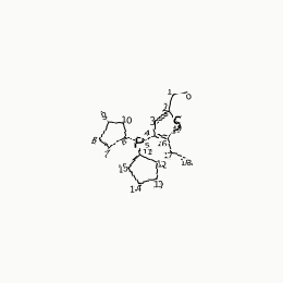 CCc1cc(P(C2CCCC2)C2CCCC2)c(CC)s1